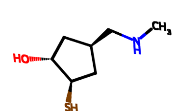 CNC[C@@H]1C[C@@H](O)[C@H](S)C1